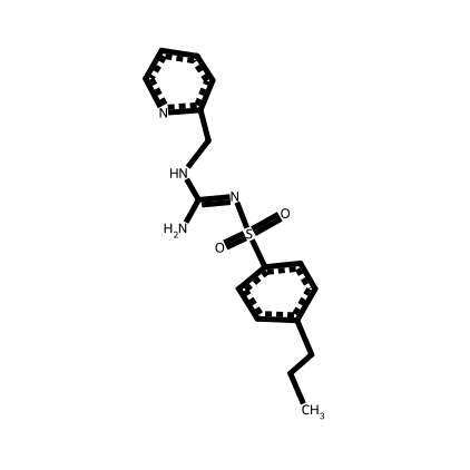 CCCc1ccc(S(=O)(=O)/N=C(\N)NCc2ccccn2)cc1